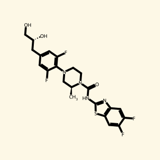 C[C@H]1CN(c2c(F)cc(C[C@@H](O)CO)cc2F)CCN1C(=O)Nc1nc2cc(F)c(F)cc2s1